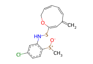 C=C1/C=C\C=C/CO/C(SNc2cc(Cl)ccc2[S+](C)[O-])=C\1